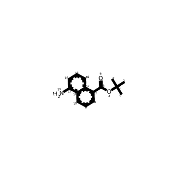 CC(C)(C)OC(=O)c1cccc2c(N)cccc12